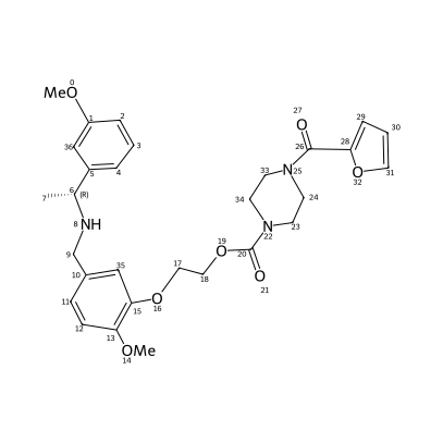 COc1cccc([C@@H](C)NCc2ccc(OC)c(OCCOC(=O)N3CCN(C(=O)c4ccco4)CC3)c2)c1